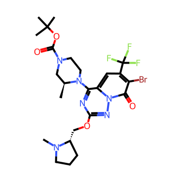 C[C@H]1CN(C(=O)OC(C)(C)C)CCN1c1nc(OC[C@@H]2CCCN2C)nn2c(=O)c(Br)c(C(F)(F)F)cc12